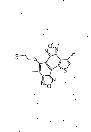 Cc1c(SCCF)c2c3nonc3c3c(F)csc3c2c2nonc12